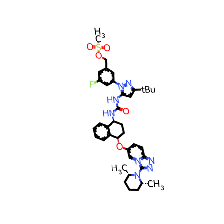 C[C@@H]1CCC[C@H](C)N1c1nnc2ccc(O[C@@H]3CC[C@H](NC(=O)Nc4cc(C(C)(C)C)nn4-c4cc(F)cc(COS(C)(=O)=O)c4)c4ccccc43)cn12